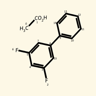 CC(=O)O.Fc1cc(F)cc(-c2ccccc2)c1